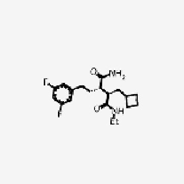 CCNC(=O)[C@H](CC1CCC1)[C@H](CCc1cc(F)cc(F)c1)C(N)=O